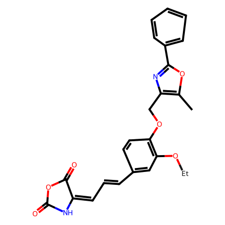 CCOc1cc(C=CC=C2NC(=O)OC2=O)ccc1OCc1nc(-c2ccccc2)oc1C